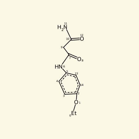 CCOc1ccc(NC(=O)CC(N)=O)cc1